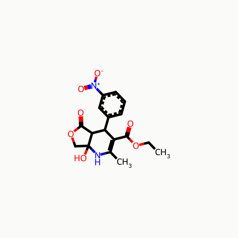 CCOC(=O)C1=C(C)NC2(O)COC(=O)C2C1c1cccc([N+](=O)[O-])c1